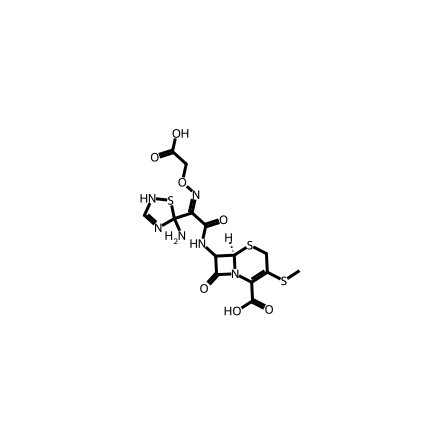 CSC1=C(C(=O)O)N2C(=O)C(NC(=O)/C(=N/OCC(=O)O)C3(N)N=CNS3)[C@H]2SC1